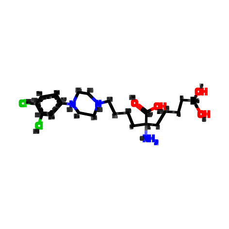 NC(CCCCB(O)O)(CCCCN1CCN(c2ccc(Cl)c(Cl)c2)CC1)C(=O)O